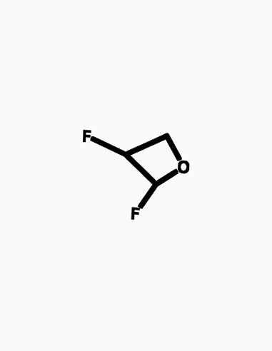 FC1COC1F